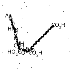 CC(=O)COCCOCCNC(=O)COCCOCCNC(=O)CC[C@H](NC(=O)CC[C@H](NC(=O)CCCCCCCCCCCCCCCCCCC(=O)O)C(=O)O)C(=O)O